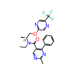 CCN(C(=O)c1cnc(C)nc1-c1ccccc1)[C@@H](C)COc1cnc(C(F)(F)F)cn1